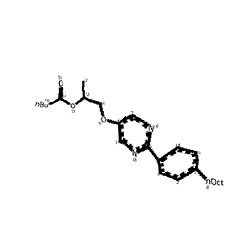 CCCCCCCCc1ccc(-c2ncc(OCC(C)OC(=O)CCCC)cn2)cc1